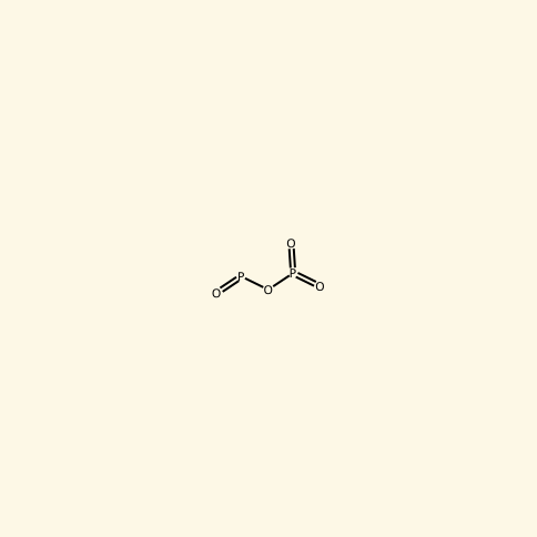 O=POP(=O)=O